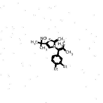 C=C1SC(C(C)(C)N=O)=CN1C(=C(C)C)c1ccc(CC)c(CC)c1